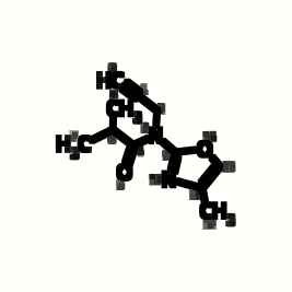 C#CCN(C(=O)C(C)C)c1nc(C)co1